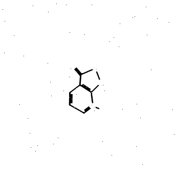 O=c1[nH]sc2c1ccc[n+]2[O-]